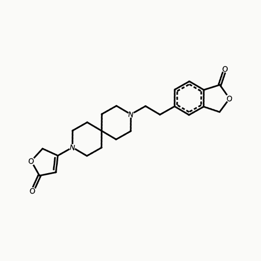 O=C1C=C(N2CCC3(CCN(CCc4ccc5c(c4)COC5=O)CC3)CC2)CO1